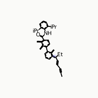 C=c1c(C(=O)Nc2c(C(C)C)cccc2C(C)C)ccc(-c2ccc/c(=C(\C#CC#CC)CC)c2=C)c1=C